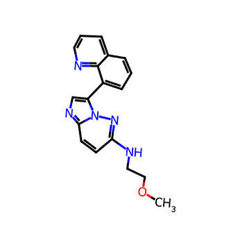 COCCNc1ccc2ncc(-c3cccc4cccnc34)n2n1